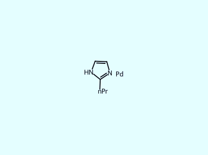 CCCc1ncc[nH]1.[Pd]